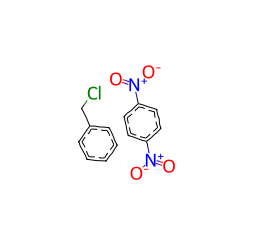 ClCc1ccccc1.O=[N+]([O-])c1ccc([N+](=O)[O-])cc1